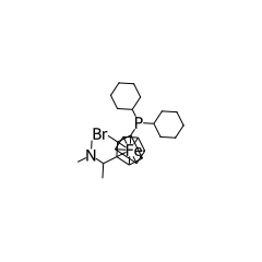 CC(N(C)C)[C]12[CH]3[CH]4[C]5(P(C6CCCCC6)C6CCCCC6)[C]1(Br)[Fe]34251678[CH]2[CH]1[CH]6[CH]7[CH]28